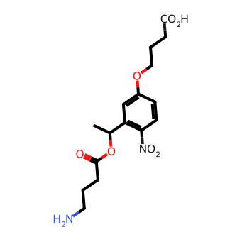 CC(OC(=O)CCCN)c1cc(OCCCC(=O)O)ccc1[N+](=O)[O-]